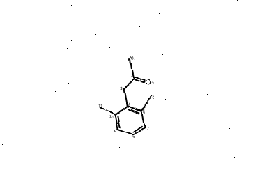 CC(=O)Cc1c(C)cccc1C